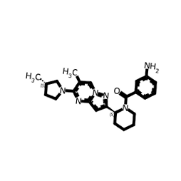 Cc1cn2nc([C@@H]3CCCCN3C(=O)c3cccc(N)c3)cc2nc1N1CC[C@H](C)C1